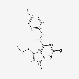 CCCc1nn(C)c2nc(Cl)nc(NCc3ccc(F)cc3)c12